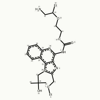 CCOCc1nc2c(NC(=O)OCCOC(CC)CN)nc3ccccc3c2n1CC(C)(C)O